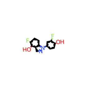 Oc1ccc(-n2ncc3c(O)c(F)ccc32)cc1F